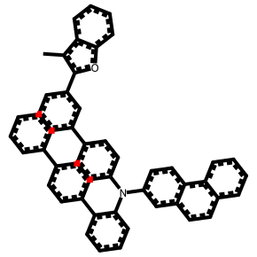 Cc1c(-c2cccc(-c3ccc(N(c4ccc5c(ccc6ccccc65)c4)c4ccccc4-c4ccc(-c5ccccc5)cc4)cc3)c2)oc2ccccc12